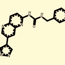 O=C(NCc1ccccc1)Nc1ccc2ncc(-c3cn[nH]c3)cc2n1